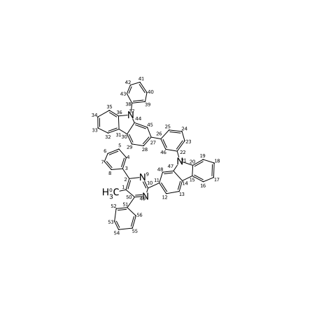 Cc1c(-c2ccccc2)nc(-c2ccc3c4ccccc4n(-c4cccc(-c5ccc6c7ccccc7n(-c7ccccc7)c6c5)c4)c3c2)nc1-c1ccccc1